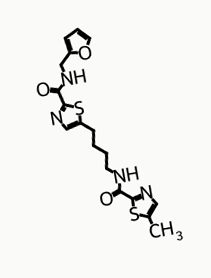 Cc1cnc(C(=O)NCCCCc2cnc(C(=O)NCc3ccco3)s2)s1